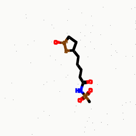 CS(=O)(=O)NC(=O)CCCCC1CC[S+]([O-])S1